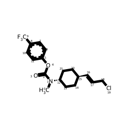 CN(C(=O)Oc1ccc(C(F)(F)F)cc1)[C@H]1CC[C@H](C=CCCl)CC1